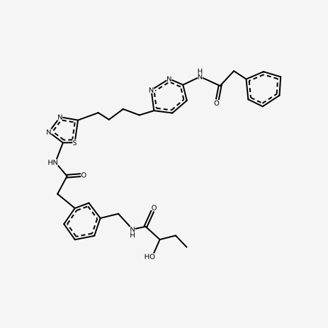 CCC(O)C(=O)NCc1cccc(CC(=O)Nc2nnc(CCCCc3ccc(NC(=O)Cc4ccccc4)nn3)s2)c1